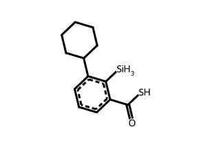 O=C(S)c1cccc(C2CCCCC2)c1[SiH3]